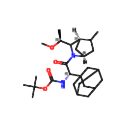 CO[C@@H](C)C1[C@@H]2C[C@@H](CC2C)N1C(=O)[C@@H](NC(=O)OC(C)(C)C)C12CC3CC(CC(C3)C1)C2